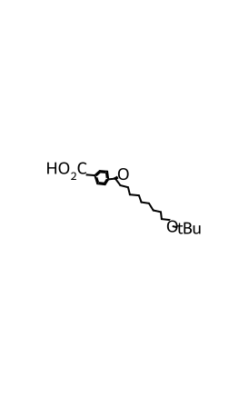 CC(C)(C)OCCCCCCCCCCC(=O)c1ccc(CC(=O)O)cc1